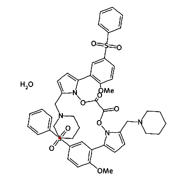 COc1ccc(S(=O)(=O)c2ccccc2)cc1-c1ccc(CN2CCCCC2)n1OC(=O)C(=O)On1c(CN2CCCCC2)ccc1-c1cc(S(=O)(=O)c2ccccc2)ccc1OC.O